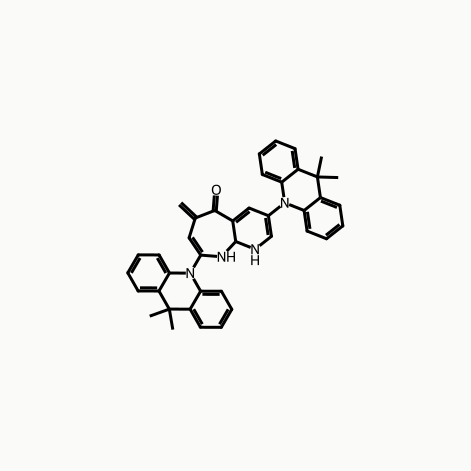 C=C1C=C(N2c3ccccc3C(C)(C)c3ccccc32)NC2NC=C(N3c4ccccc4C(C)(C)c4ccccc43)C=C2C1=O